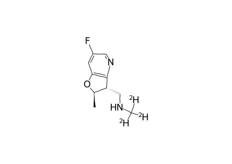 [2H]C([2H])([2H])NC[C@H]1c2ncc(F)cc2O[C@@H]1C